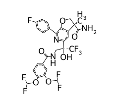 C[C@]1(C(N)=O)COc2c1cc([C@@](O)(CNC(=O)c1ccc(OC(F)F)c(OC(F)F)c1)C(F)(F)F)nc2-c1ccc(F)cc1